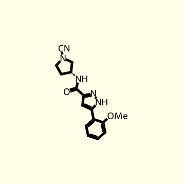 COc1ccccc1-c1cc(C(=O)N[C@@H]2CCN(C#N)C2)n[nH]1